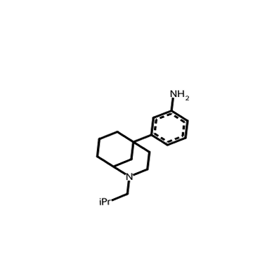 CC(C)CN1CCC2(c3cccc(N)c3)CCCC1C2